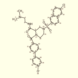 CN(C)CCNC(=O)C1CN(S(=O)(=O)c2ccc3cc(Cl)ccc3c2)CCN1C(=O)c1ccc(-c2cc[n+]([O-])cc2)cc1